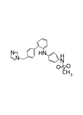 CS(=O)(=O)Nc1ccc(Nc2ccccc2-c2ccc(Cn3ccnc3)cc2)cc1